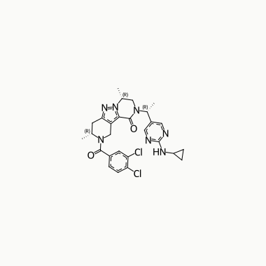 C[C@@H]1Cc2nn3c(c2CN1C(=O)c1ccc(Cl)c(Cl)c1)C(=O)N([C@H](C)c1cnc(NC2CC2)nc1)C[C@H]3C